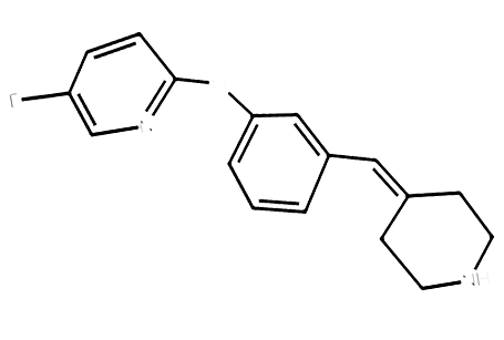 Fc1ccc(Oc2cccc(C=C3CCNCC3)c2)nc1